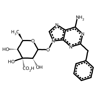 C[C@H]1OC(On2cnc3c(N)nc(Cc4ccccc4)nc32)[C@H](O)[C@](O)(C(=O)O)[C@@H]1O